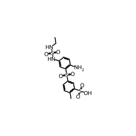 CCNS(=O)(=O)Nc1ccc(N)c(S(=O)(=O)c2ccc(C)c(S(=O)(=O)O)c2)c1